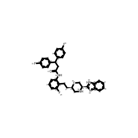 O=C(CC(c1ccc(F)cc1)c1ccc(F)cc1)Nc1cccc(F)c1CC[C@@H]1CN[C@H](c2nc3ccccc3[nH]2)CO1